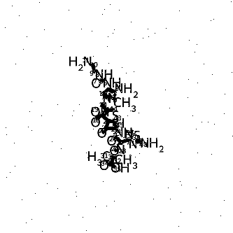 Cn1c(N)c(NC(=O)NCCN)c[n+]1CC1=C(C(=O)O)C2C(=O)[C@@H](NC(=O)/C(=N\OC(C)(C)C(=O)O)c3nsc(N)n3)[C@H]2SC1